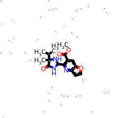 COC(=O)c1cc2occc2nc1C1NC(=O)C(C)(C(C)C)N1